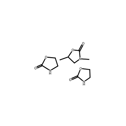 CC1CN(C)C(=O)O1.O=C1NCCO1.O=C1NCCO1